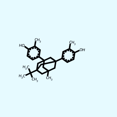 Cc1cc(C23CC4(C)CC(c5ccc(O)c(C)c5)(C2)CC(C(C)(C)C)(C4)C3)ccc1O